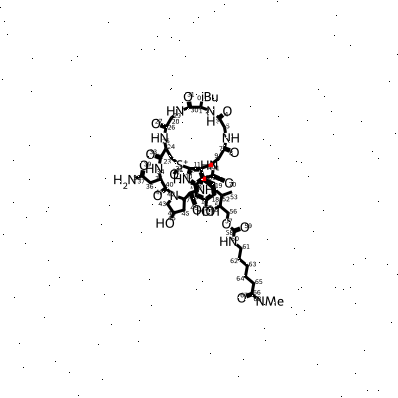 CCC(C)C1NC(=O)CNC(=O)C2Cc3c([nH]c4cc(O)ccc34)[S+]([O-])CC(NC(=O)CNC1=O)C(=O)NC(CC(N)=O)C(=O)N1CC(O)CC1C(=O)NC(C(C)C(O)COC(=O)NCCCCCC(=O)NC)C(=O)N2